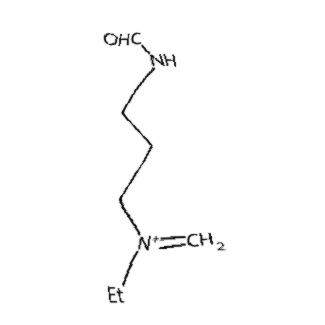 C=[N+](CC)CCCNC=O